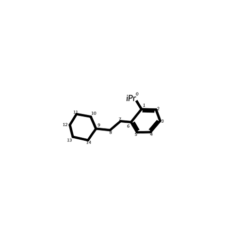 CC(C)c1ccccc1CCC1CCCCC1